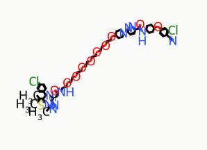 Cc1sc2c(c1C)C(c1ccc(Cl)cc1)=N[C@@H](CC(=O)NCCOCCOCCOCCOCCOCCOCCOC1CCN(c3ccc(C(=O)NC4CCC(Oc5ccc(C#N)c(Cl)c5)CC4)nn3)CC1)c1nnc(C)n1-2